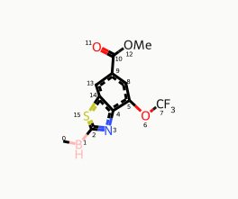 CBc1nc2c(OC(F)(F)F)cc(C(=O)OC)cc2s1